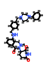 CN1Cc2c(NCc3ccc(CN4CCN(c5ccccc5)CC4)cc3)cccc2C(=O)N1C1CCC(=O)NC1=O